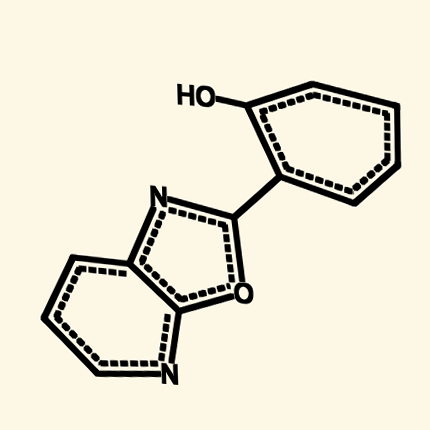 Oc1ccccc1-c1nc2cccnc2o1